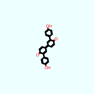 O=C1C=C/C(=C2/C=CC(=O)C(c3ccc(O)cc3)=C2)C=C1c1ccc(O)cc1